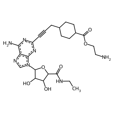 CCNC(=O)C1OC(n2cnc3c(N)nc(C#CCC4CCC(C(=O)OCCN)CC4)nc32)C(O)C1O